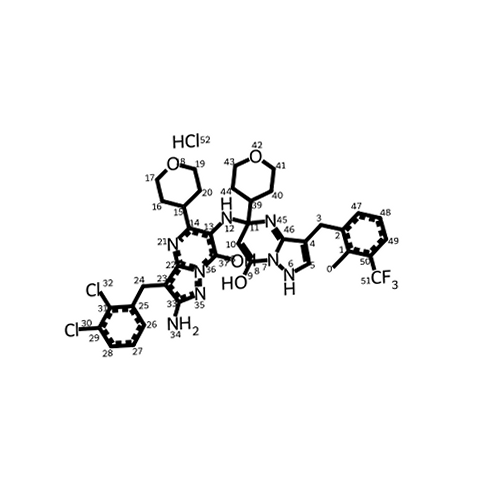 Cc1c(CC2=CNN3C(O)=CC(Nc4c(C5CCOCC5)nc5c(Cc6cccc(Cl)c6Cl)c(N)nn5c4O)(C4CCOCC4)N=C23)cccc1C(F)(F)F.Cl